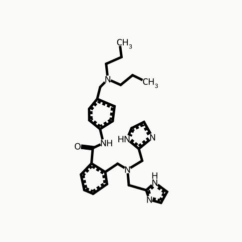 CCCN(CCC)Cc1ccc(NC(=O)c2ccccc2CN(Cc2ncc[nH]2)Cc2ncc[nH]2)cc1